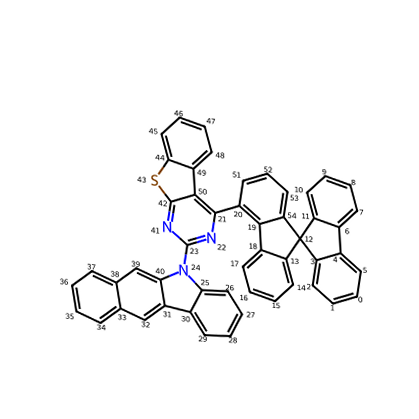 c1ccc2c(c1)-c1ccccc1C21c2ccccc2-c2c(-c3nc(-n4c5ccccc5c5cc6ccccc6cc54)nc4sc5ccccc5c34)cccc21